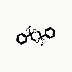 COC1(c2ccccc2)COC(OC)(c2ccccc2)CO1